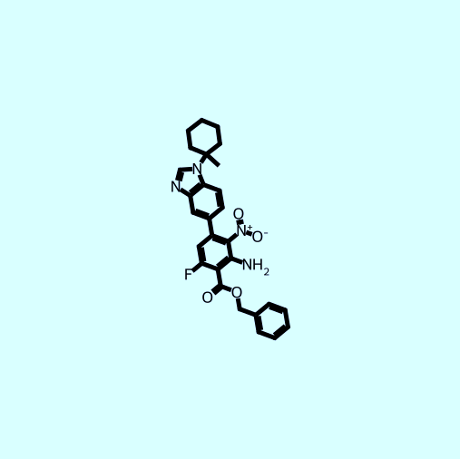 CC1(n2cnc3cc(-c4cc(F)c(C(=O)OCc5ccccc5)c(N)c4[N+](=O)[O-])ccc32)CCCCC1